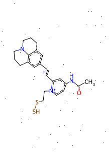 CC(=O)Nc1cc[n+](CCSS)c(/C=C/c2cc3c4c(c2)CCCN4CCC3)c1